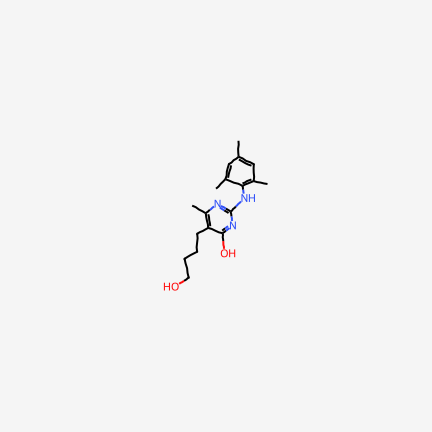 Cc1cc(C)c(Nc2nc(C)c(CCCCO)c(O)n2)c(C)c1